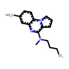 CN(CCCC(F)(F)F)c1nc2cc(C(=O)O)ccc2n2cccc12